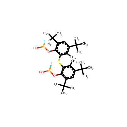 Cc1c(C(C)(C)C)cc(C(C)(C)C)c(OP(O)F)c1Sc1c(C)c(C(C)(C)C)cc(C(C)(C)C)c1OP(O)F